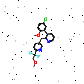 COCC(F)(F)c1ccc(Cc2ncccc2-c2cc(Cl)ccc2OC)cn1